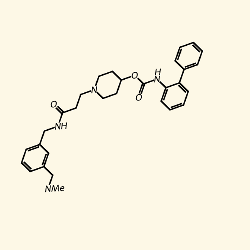 CNCc1cccc(CNC(=O)CCN2CCC(OC(=O)Nc3ccccc3-c3ccccc3)CC2)c1